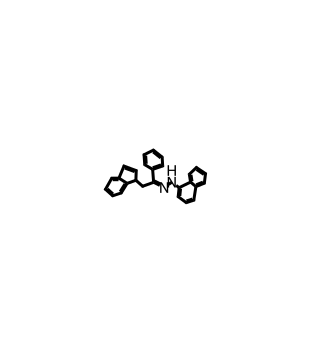 C1=CC(CC(=NNc2cccc3ccccc23)c2ccccc2)c2ccccc21